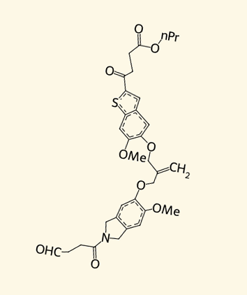 C=C(COc1cc2c(cc1OC)CN(C(=O)CCC=O)C2)COc1cc2cc(C(=O)CCC(=O)OCCC)sc2cc1OC